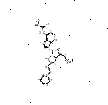 CCNC(=O)Nc1ncnc2c1ncn2C1OC(CC(=O)O)C2OC(/C=C/c3ccccc3)OC21